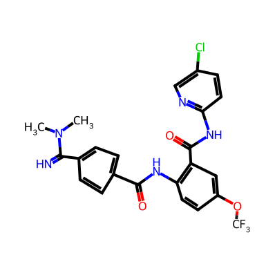 CN(C)C(=N)c1ccc(C(=O)Nc2ccc(OC(F)(F)F)cc2C(=O)Nc2ccc(Cl)cn2)cc1